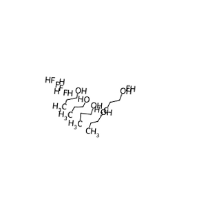 CCCO.CCCO.CCCO.CCCO.CCCO.F.F.F.F.F